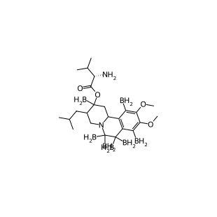 Bc1c(OC)c(OC)c(B)c2c1C1CC(B)(OC(=O)[C@@H](N)C(C)C)C(CC(C)C)CN1C(B)(B)C2(B)B